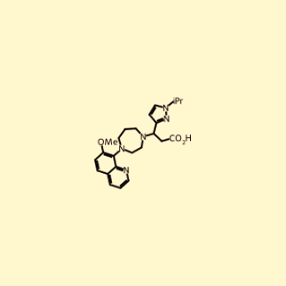 COc1ccc2cccnc2c1N1CCCN(C(CC(=O)O)c2ccn(C(C)C)n2)CC1